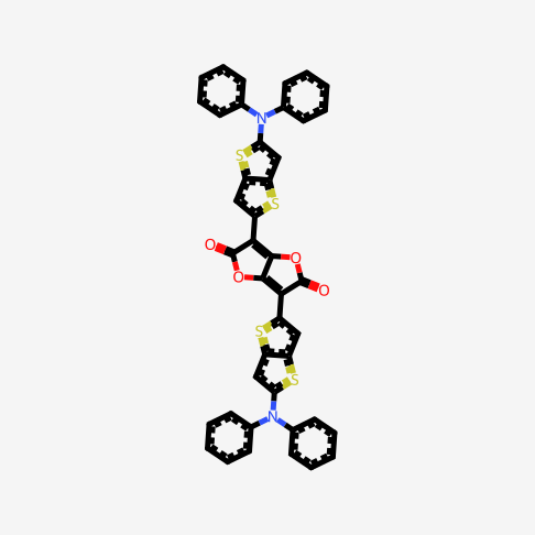 O=C1OC2=C(c3cc4sc(N(c5ccccc5)c5ccccc5)cc4s3)C(=O)OC2=C1c1cc2sc(N(c3ccccc3)c3ccccc3)cc2s1